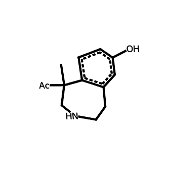 CC(=O)C1(C)CNCCc2cc(O)ccc21